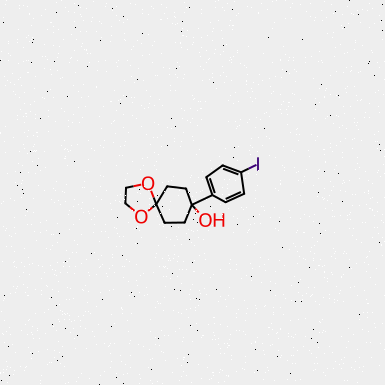 OC1(c2ccc(I)cc2)CCC2(CC1)OCCO2